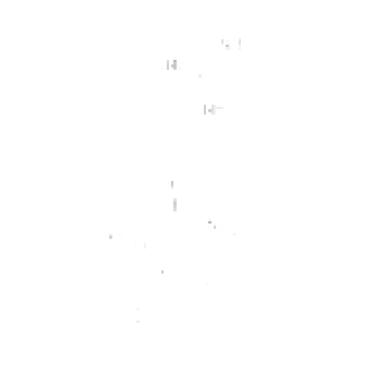 COC(=O)C(=O)[C@@H](N)CCCNC(=N)N